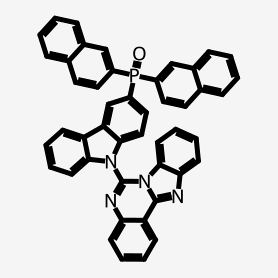 O=P(c1ccc2ccccc2c1)(c1ccc2ccccc2c1)c1ccc2c(c1)c1ccccc1n2-c1nc2ccccc2c2nc3ccccc3n12